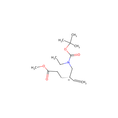 C=C[C@H](CCC(=O)OC)CN(CC)C(=O)OC(C)(C)C